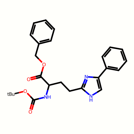 CC(C)(C)OC(=O)NC(CCc1nc(-c2ccccc2)c[nH]1)C(=O)OCc1ccccc1